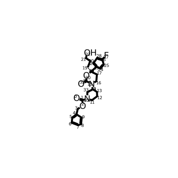 O=C(OCc1ccccc1)N1CCC[C@H](N2CC[C@](CCCO)(c3ccc(F)cc3)OC2=O)C1